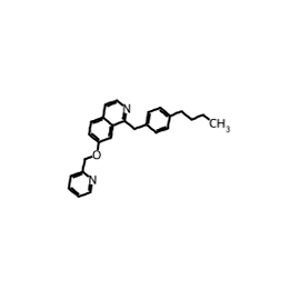 CCCCc1ccc(Cc2nccc3ccc(OCc4ccccn4)cc23)cc1